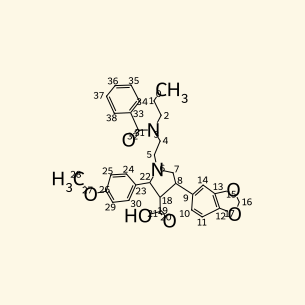 CCCN(CCN1CC(c2ccc3c(c2)OCO3)C(C(=O)O)C1c1ccc(OC)cc1)C(=O)c1ccccc1